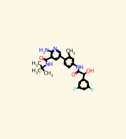 Cc1cc(NC(=O)C(O)c2cc(F)cc(F)c2)ccc1-c1cnc(N)c(C(=O)NC(C)(C)C)c1